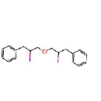 IC(COCC(I)Cc1ccccc1)Cc1ccccc1